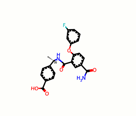 C[C@H](NC(=O)c1cc(C(N)=O)ccc1Oc1cccc(F)c1)c1ccc(C(=O)O)cc1